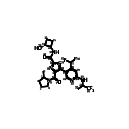 CC1CCCN1C(=O)c1nc(C(=O)N[C@@H]2CC[C@H]2O)sc1-c1cnc(NC(C)C(F)(F)F)cc1C(F)F